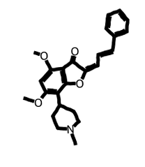 COc1cc(OC)c(C2CCN(C)CC2)c2c1C(=O)/C(=C\C=C\c1ccccc1)O2